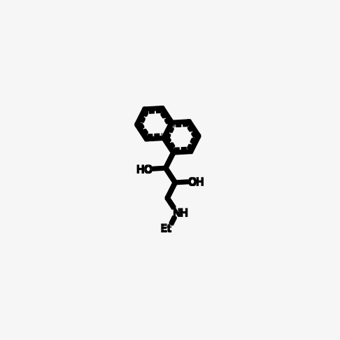 CCNCC(O)C(O)c1cccc2ccccc12